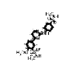 CNS(=O)(=O)c1ccc(Nc2nccc(-c3ccc(OC)c(S(=O)(=O)NC)c3)n2)cc1